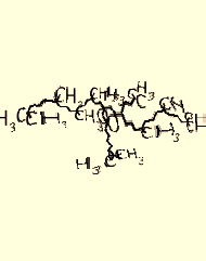 CC(C)CCCC(C)CCCC(C)CCCC(C)CCC(CCC(CCCC(C)CCCC(C)CCCC(C)C)CCC(C)C)OC(=O)CCCCCN(C)C